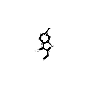 C=CC1=Nc2cc(C)ccc2C1=O